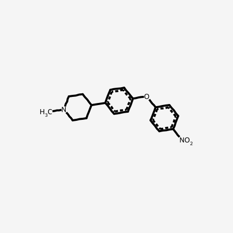 CN1CCC(c2ccc(Oc3ccc([N+](=O)[O-])cc3)cc2)CC1